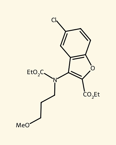 CCOC(=O)c1oc2ccc(Cl)cc2c1N(CCCOC)C(=O)OCC